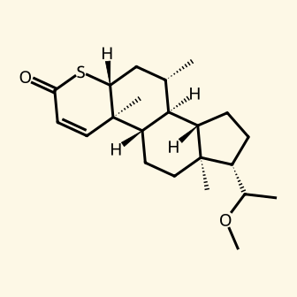 COC(C)[C@H]1CC[C@H]2[C@@H]3[C@@H](C)C[C@H]4SC(=O)C=C[C@]4(C)[C@H]3CC[C@]12C